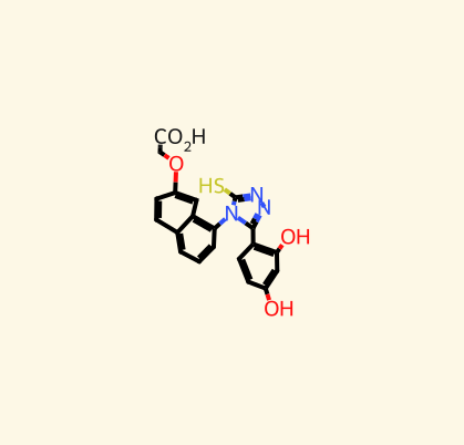 O=C(O)COc1ccc2cccc(-n3c(S)nnc3-c3ccc(O)cc3O)c2c1